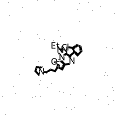 CCN1CN2C(=N1)C(c1ccccc1Cl)=NCC1=CC(CCCN3CCCC3)[S+]([O-])C12